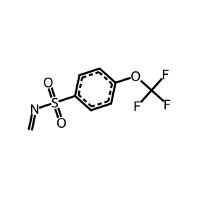 C=NS(=O)(=O)c1ccc(OC(F)(F)F)cc1